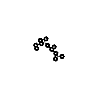 c1ccc(N(c2ccc(-c3ccc(-c4ccc5c(c4)c4ccccc4n5-c4ccccc4)c4ccccc34)cc2)c2ccc(-c3cccc4ccccc34)c3ccccc23)cc1